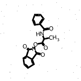 CC(NC(=O)c1ccccc1)C(=O)ON1C(=O)c2ccccc2C1=O